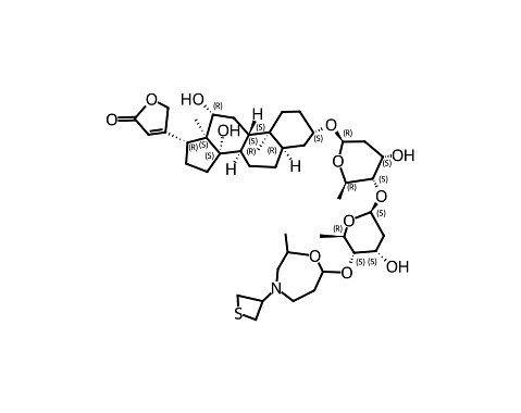 CC1CN(C2CSC2)CCC(O[C@H]2[C@@H](O)C[C@H](O[C@H]3[C@@H](O)C[C@H](O[C@H]4CC[C@@]5(C)[C@H](CC[C@@H]6[C@@H]5C[C@@H](O)[C@]5(C)[C@@H](C7=CC(=O)OC7)CC[C@]65O)C4)O[C@@H]3C)O[C@@H]2C)O1